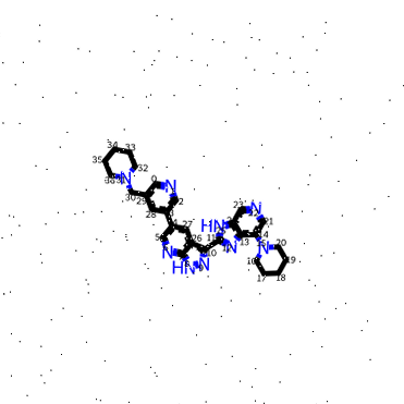 c1ncc(-c2cnc3[nH]nc(-c4nc5c(N6CCCCC6)cncc5[nH]4)c3c2)cc1CN1CCCCC1